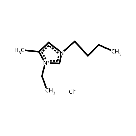 CCCCn1cc(C)[n+](CC)c1.[Cl-]